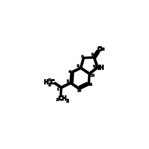 CC(C)C1=CC2CC(=O)NC2C=C1